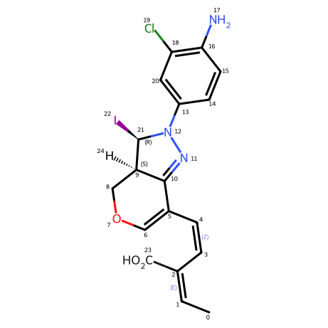 C/C=C(\C=C/C1=COC[C@@H]2C1=NN(c1ccc(N)c(Cl)c1)[C@@H]2I)C(=O)O